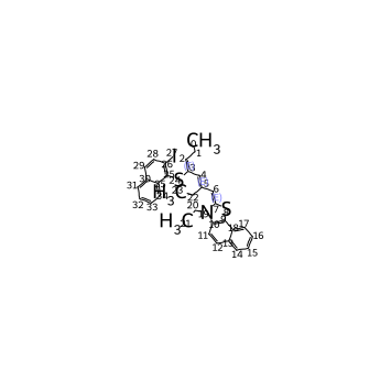 CC\C=C(/C=C(/C=C1/Sc2c(ccc3ccccc23)N1CC)CC)Sc1c(I)ccc2ccccc12